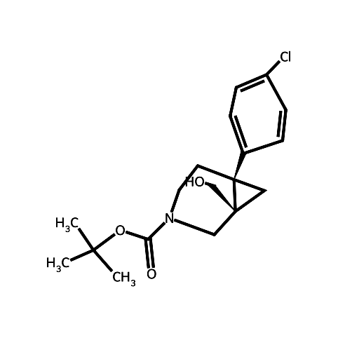 CC(C)(C)OC(=O)N1CC[C@]2(c3ccc(Cl)cc3)C[C@]2(CO)C1